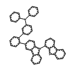 c1ccc(N(c2ccccc2)c2cccc(-c3ccccc3-c3ccc4c(c3)c3ccccc3n4-c3cccc4c3sc3ccccc34)c2)cc1